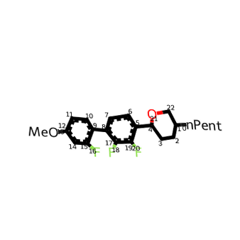 CCCCCC1CCC(c2ccc(-c3ccc(OC)cc3F)c(F)c2F)OC1